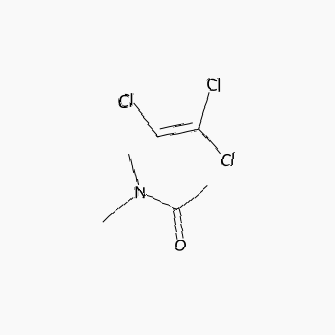 CC(=O)N(C)C.ClC=C(Cl)Cl